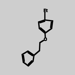 [CH2]Cc1ccc(OCCc2ccccc2)cc1